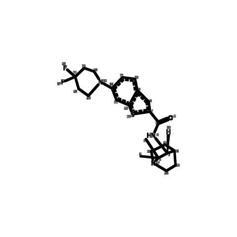 CC1(C)[C@H](NC(=O)c2cc3ccc(N4CCC(F)(F)CC4)cc3s2)C2CCN1CC2